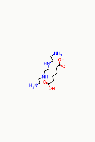 NCCNCCNCCN.O=C(O)CCCCC(=O)O